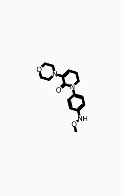 CONc1ccc(N2CCC=C(N3CCOCC3)C2=O)cc1